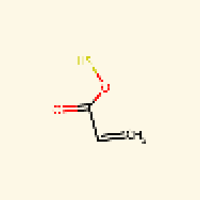 C=CC(=O)OS